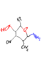 CCC1OC(N)C(C)C(N=O)C1O